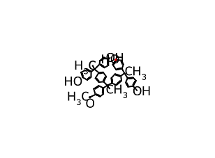 CC(=O)c1ccc(C(C)(c2ccc(C(C)(c3ccc(O)cc3)c3ccc(O)cc3)cc2)c2ccc(C(C)(c3ccc(O)cc3)c3ccc(O)cc3)cc2)cc1